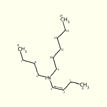 CC/C=C\N(CCCC)CCCCCC